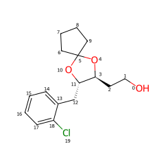 OCC[C@@H]1OC2(CCCC2)O[C@H]1Cc1ccccc1Cl